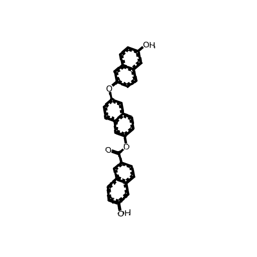 O=C(Oc1ccc2cc(Oc3ccc4cc(O)ccc4c3)ccc2c1)c1ccc2cc(O)ccc2c1